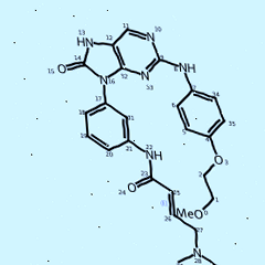 COCCOc1ccc(Nc2ncc3[nH]c(=O)n(-c4cccc(NC(=O)/C=C/CN(C)C)c4)c3n2)cc1